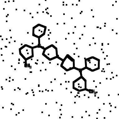 CC1CCCC(N(C2C=CC(C3CCC(N(C4CCCCC4)C4CCCC(C)C4)CC3)CC2)C2CCCCC2)C1